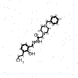 CCCc1cccc(/C=N/NC(=O)CN2CCN(Cc3ccccc3)CC2)c1O